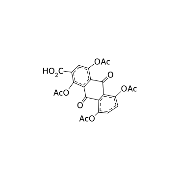 CC(=O)Oc1ccc(OC(C)=O)c2c1C(=O)c1c(OC(C)=O)cc(C(=O)O)c(OC(C)=O)c1C2=O